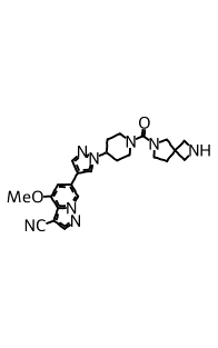 COc1cc(-c2cnn(C3CCN(C(=O)N4CCC5(CNC5)C4)CC3)c2)cn2ncc(C#N)c12